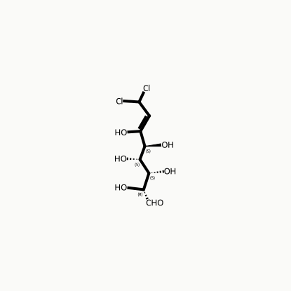 O=C[C@H](O)[C@@H](O)[C@H](O)[C@H](O)C(O)=CC(Cl)Cl